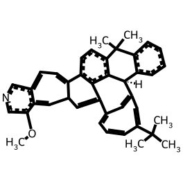 COc1cncc2c1=CC1C=C3\C4=C/C=C\C(C(C)(C)C)=C/C(=C4)[C@@H]4c5ccccc5C(C)(C)c5ccc(c3c54)C1=CC=2